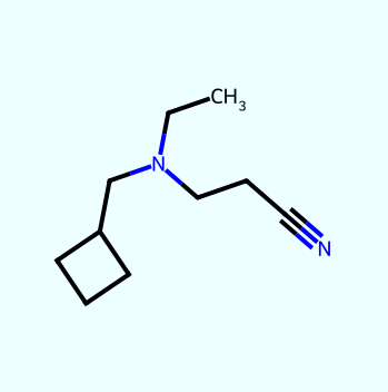 CCN(CCC#N)CC1CCC1